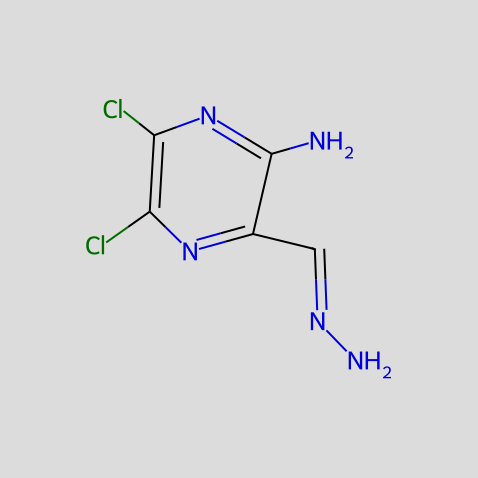 NN=Cc1nc(Cl)c(Cl)nc1N